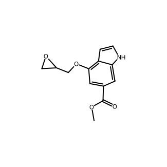 COC(=O)c1cc(OCC2CO2)c2cc[nH]c2c1